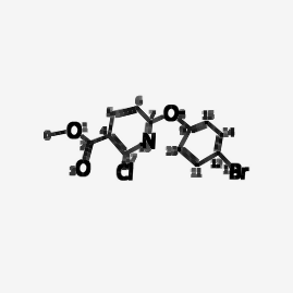 COC(=O)c1ccc(Oc2ccc(Br)cc2)nc1Cl